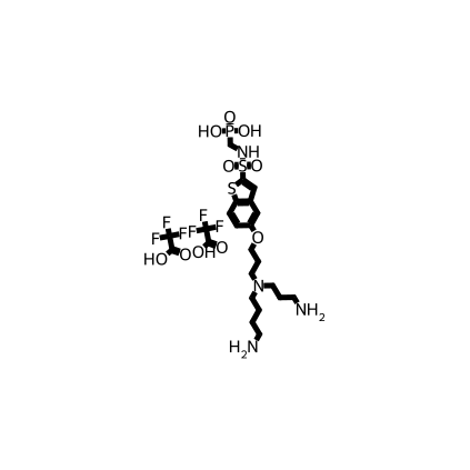 NCCCCN(CCCN)CCCOc1ccc2sc(S(=O)(=O)NCP(=O)(O)O)cc2c1.O=C(O)C(F)(F)F.O=C(O)C(F)(F)F